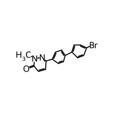 Cn1nc(-c2ccc(-c3ccc(Br)cc3)cc2)ccc1=O